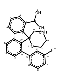 CC(O)c1ccccc1C1(c2ccccc2-c2cccc(F)c2)CNCCO1